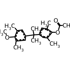 COc1c(C)cc(C(C)(C)c2cc(C)c(OC(C)=O)c(C)c2)cc1C